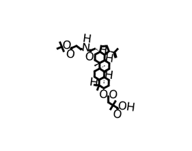 C=C(C)[C@@H]1CC[C@]2(CC(=O)NCCC(=O)OC(C)(C)C)CC[C@]3(C)[C@H](CC[C@@H]4[C@@]5(C)CC[C@H](OC(=O)CC(C)(C)C(=O)O)C(C)(C)[C@@H]5CC[C@]43C)[C@@H]12